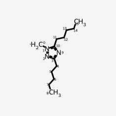 [CH2]n1nc(CCCCC)nc1CCCCC